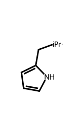 C[C](C)Cc1ccc[nH]1